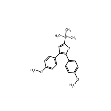 COc1ccc(-c2cc([Si](C)(C)C)oc2-c2ccc(OC)cc2)cc1